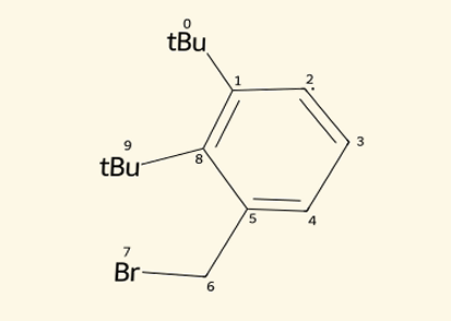 CC(C)(C)c1[c]ccc(CBr)c1C(C)(C)C